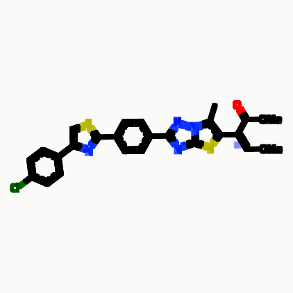 CO/C=C(\C(=O)OC)c1sc2nc(-c3ccc(-c4nc(-c5ccc(Cl)cc5)cs4)cc3)nn2c1C